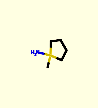 CS1(N)CCCC1